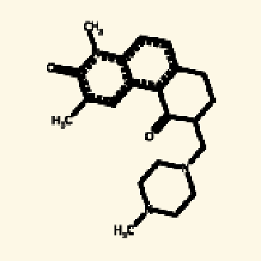 Cc1cc2c3c(ccc2n(C)c1=O)CCC(CN1CCN(C)CC1)C3=O